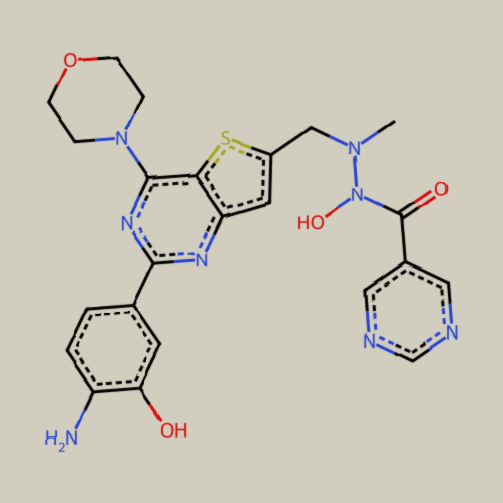 CN(Cc1cc2nc(-c3ccc(N)c(O)c3)nc(N3CCOCC3)c2s1)N(O)C(=O)c1cncnc1